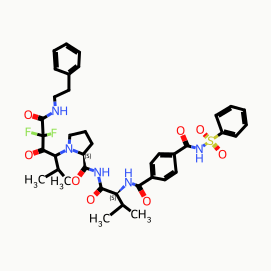 CC(C)C(C(=O)C(F)(F)C(=O)NCCc1ccccc1)N1CCC[C@H]1C(=O)NC(=O)[C@@H](NC(=O)c1ccc(C(=O)NS(=O)(=O)c2ccccc2)cc1)C(C)C